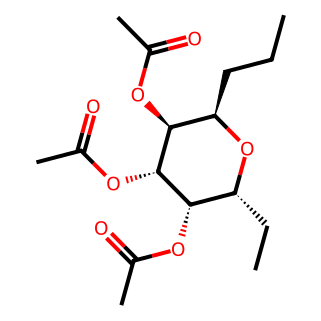 CCC[C@H]1O[C@H](CC)[C@H](OC(C)=O)[C@H](OC(C)=O)[C@H]1OC(C)=O